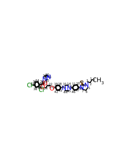 CCCCN1CCCN(c2ccc(N3CCN(c4ccc(OCC5COC(Cn6ccnc6)(c6ccc(Cl)cc6Cl)O5)cc4)CC3)cc2)C1=S